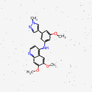 COc1cc(Nc2ccnc3cc(OC)c(OC)cc23)cc(-c2cnn(C)c2)c1